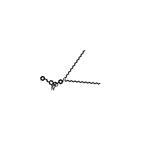 CCCCCCCCCCCCCCCCCCCCN(CCCCCCCCCCCCCCCCCCCC)c1ccc(C=CC2([N+](=O)[O-])C=CC(C=Cc3ccccc3)=CC2C#N)cc1